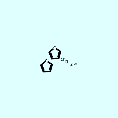 [Cl-].[Cl-].[Zr+2].c1cc[cH-]c1.c1cc[cH-]c1